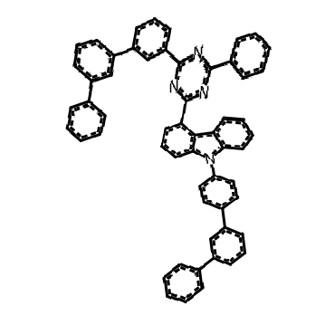 c1ccc(-c2cccc(-c3ccc(-n4c5ccccc5c5c(-c6nc(-c7ccccc7)nc(-c7cccc(-c8cccc(-c9ccccc9)c8)c7)n6)cccc54)cc3)c2)cc1